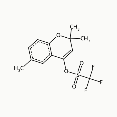 Cc1ccc2c(c1)C(OS(=O)(=O)C(F)(F)F)=CC(C)(C)O2